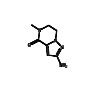 CN1CCn2nc([N+](=O)[O-])cc2C1=O